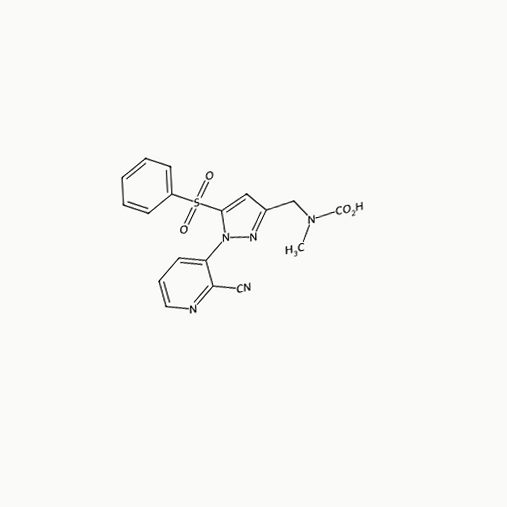 CN(Cc1cc(S(=O)(=O)c2ccccc2)n(-c2cccnc2C#N)n1)C(=O)O